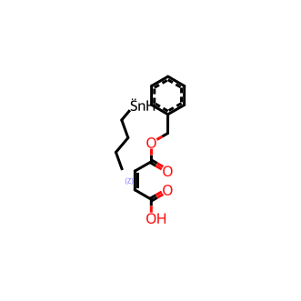 CCC[CH2][SnH].O=C(O)/C=C\C(=O)OCc1ccccc1